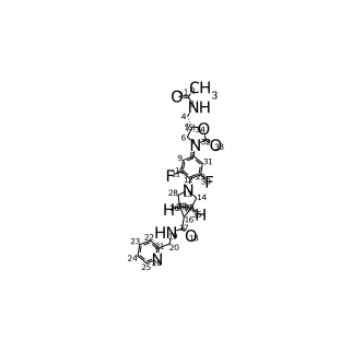 CC(=O)NC[C@H]1CN(c2cc(F)c(N3C[C@@H]4C(C(=O)NCc5ccccn5)[C@@H]4C3)c(F)c2)C(=O)O1